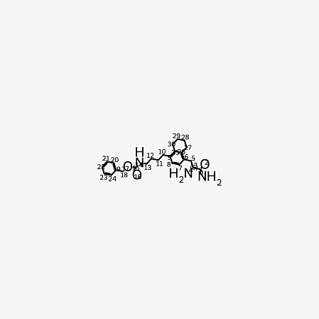 NC(=O)[C@@H](N)Cc1ccc(CCCCNC(=O)OCc2ccccc2)c2c1CCCC2